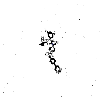 CN(C(=O)/C(OCC1(C)CC1)=C(\C=N)N1CCN(S(=O)(=O)Cc2ccc(-c3cncnc3)cc2)CC1)c1cc(F)cc(F)c1